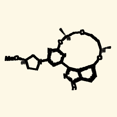 CO[C@@H]1CCN(c2cc3nc(n2)O[C@H](C)COCC[C@H](C)Oc2ccc4[nH]nc-3c4c2)C1